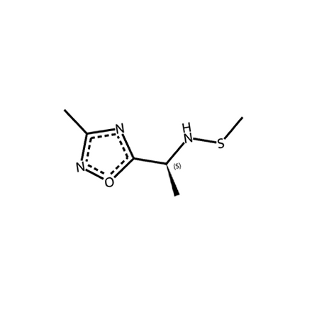 CSN[C@@H](C)c1nc(C)no1